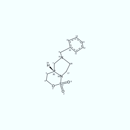 O=S1(=O)OCC[C@@H]2CN(Cc3ccccc3)CCN21